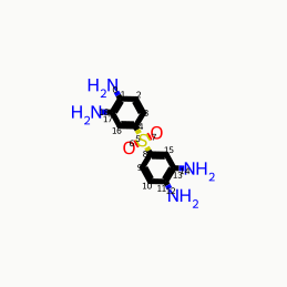 Nc1ccc(S(=O)(=O)c2ccc(N)c(N)c2)cc1N